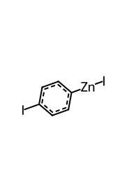 [I][Zn][c]1ccc(I)cc1